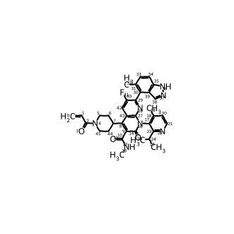 C=CC(=O)N1CCC(c2c(C(=O)NC)c(=O)n(-c3c(C)ccnc3C(C)C)c3nc(-c4c(C)ccc5[nH]ncc45)c(F)cc23)CC1